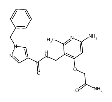 Cc1nc(N)cc(OCC(N)=O)c1CNC(=O)c1cnn(Cc2ccccc2)c1